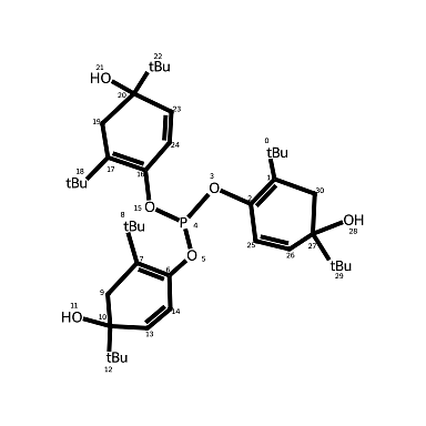 CC(C)(C)C1=C(OP(OC2=C(C(C)(C)C)CC(O)(C(C)(C)C)C=C2)OC2=C(C(C)(C)C)CC(O)(C(C)(C)C)C=C2)C=CC(O)(C(C)(C)C)C1